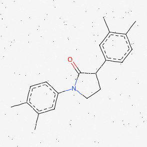 Cc1ccc(C2CCN(c3ccc(C)c(C)c3)C2=O)cc1C